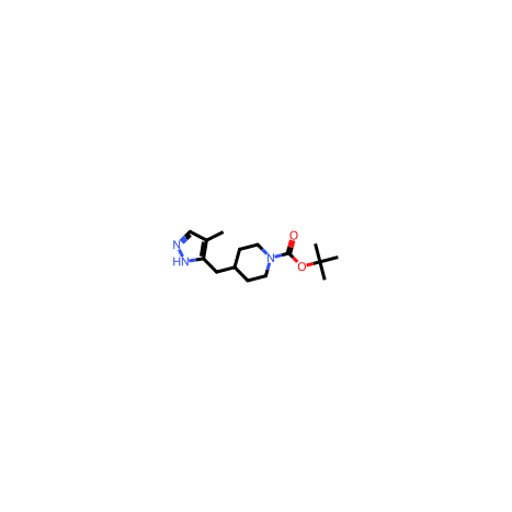 Cc1cn[nH]c1CC1CCN(C(=O)OC(C)(C)C)CC1